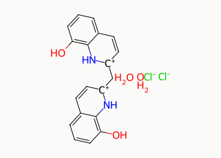 O.O.Oc1cccc2cc[c+](C[c+]3ccc4cccc(O)c4[nH]3)[nH]c12.[Cl-].[Cl-]